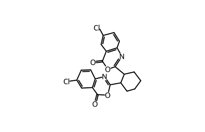 O=c1oc(C2CCCCC2c2nc3ccc(Cl)cc3c(=O)o2)nc2ccc(Cl)cc12